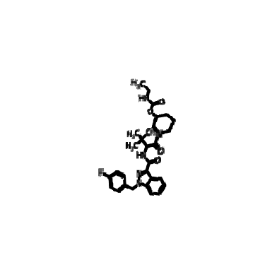 CCNC(=O)OC1CCCN(C(=O)C(NC(=O)c2nn(Cc3ccc(F)cc3)c3ccccc23)C(C)(C)C)C1